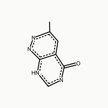 Cc1cc2c(=O)nc[nH]c2nn1